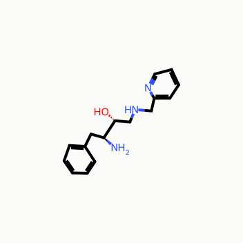 N[C@@H](Cc1ccccc1)[C@H](O)CNCc1ccccn1